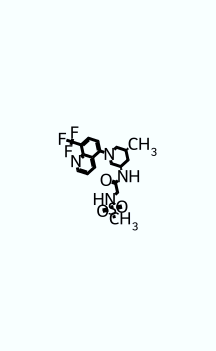 C[C@H]1C[C@@H](NC(=O)CNS(C)(=O)=O)CN(c2ccc(C(F)(F)F)c3ncccc23)C1